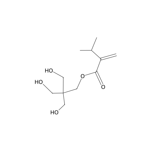 C=C(C(=O)OCC(CO)(CO)CO)C(C)C